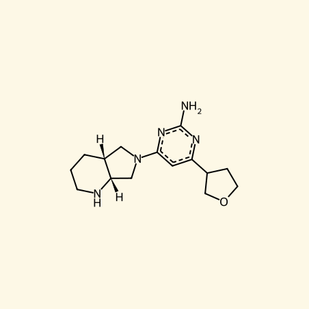 Nc1nc(C2CCOC2)cc(N2C[C@H]3CCCN[C@H]3C2)n1